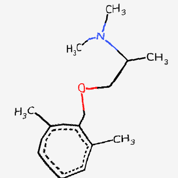 Cc1cccc(C)c1OCC(C)N(C)C